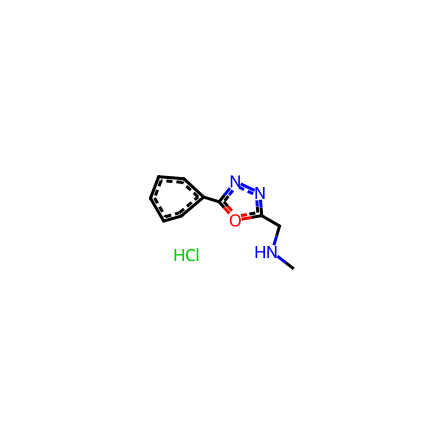 CNCc1nnc(-c2ccccc2)o1.Cl